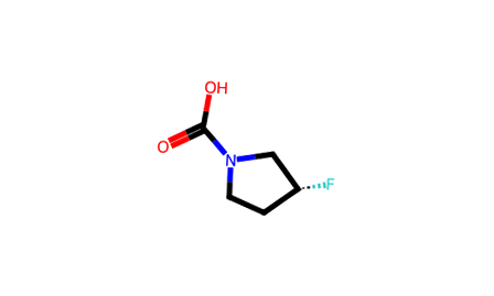 O=C(O)N1CC[C@@H](F)C1